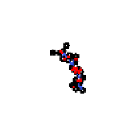 c1ccc(-c2cccc(-c3ccccc3N(c3cccc(-c4ccccc4)c3)c3ccc4c(c3)C3(c5ccccc5-4)c4ccccc4-n4c5cccc(-c6cccc7cc(N(c8ccc9c(c8)C8(c%10ccccc%10-9)c9ccccc9-n9c%10ccccc%10c%10cccc8c%109)c8ccccc8-c8cccc(-c9ccccc9)c8)ccc67)c5c5cccc3c54)c2)cc1